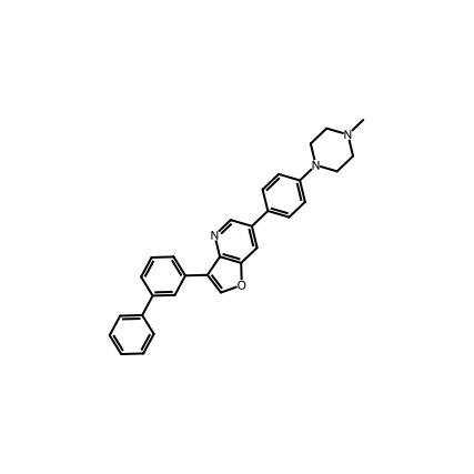 CN1CCN(c2ccc(-c3cnc4c(-c5cccc(-c6ccccc6)c5)coc4c3)cc2)CC1